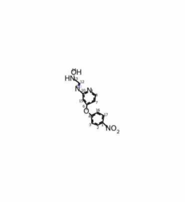 O=[N+]([O-])c1ccc(Oc2ccnc(/N=C/NO)c2)cc1